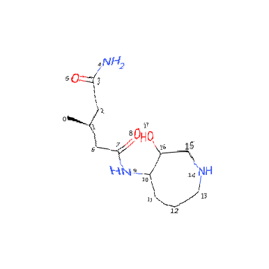 C[C@@H](CC(N)=O)CC(=O)NC1CCCNCC1O